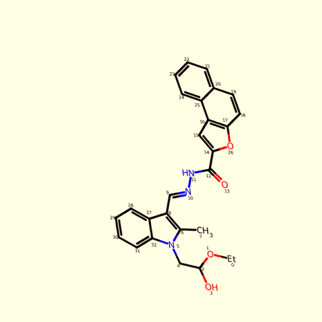 CCOC(O)Cn1c(C)c(/C=N/NC(=O)c2cc3c(ccc4ccccc43)o2)c2ccccc21